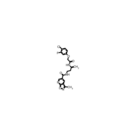 C=C(CCNC(=O)c1cnc2onc(C)c2c1)NC(=O)COc1ccc(Cl)c(F)c1